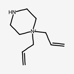 C=CC[N+]1(CC=C)CCNCC1